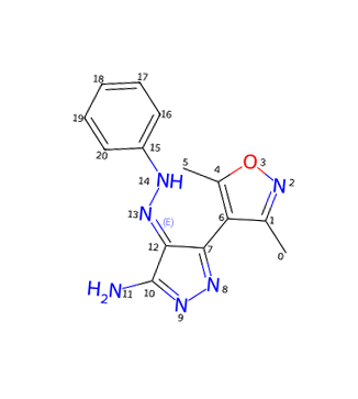 Cc1noc(C)c1C1=NN=C(N)/C1=N/Nc1ccccc1